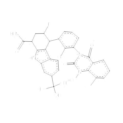 Cn1c(=O)n(-c2cccc(C3c4c([nH]c5cc(C(C)(C)O)ccc45)C(C(N)=O)CC3F)c2Cl)c(=O)c2cccc(F)c21